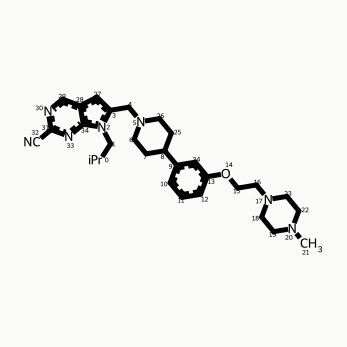 CC(C)Cn1c(CN2CCC(c3cccc(OCCN4CCN(C)CC4)c3)CC2)cc2cnc(C#N)nc21